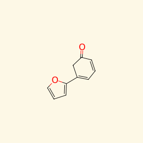 O=C1C=CC=C(c2ccco2)C1